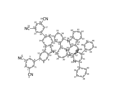 N#Cc1cc(C#N)cc(-c2ccc3c(c2)c2cc(-c4cc(C#N)cc(C#N)c4)ccc2n3-c2ccc(-c3nc(-c4ccccc4)cc(-c4ccccc4)n3)cc2-c2ccccc2-n2c3ccccc3c3ccccc32)c1